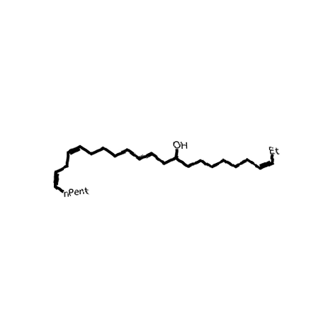 CC/C=C\CCCCCCC(O)CCCCCCC/C=C\C/C=C\CCCCC